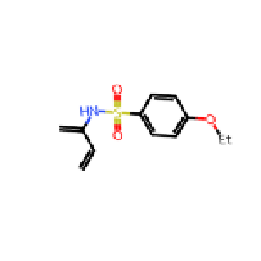 C=CC(=C)NS(=O)(=O)c1ccc(OCC)cc1